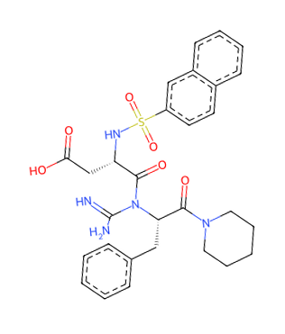 N=C(N)N(C(=O)[C@H](CC(=O)O)NS(=O)(=O)c1ccc2ccccc2c1)[C@@H](Cc1ccccc1)C(=O)N1CCCCC1